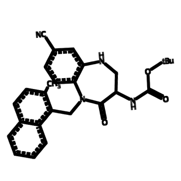 Cc1ccc2ccccc2c1CN1C(=O)C(NC(=O)OC(C)(C)C)CNc2cc(C#N)ccc21